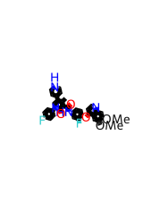 COc1cc2nccc(Oc3ccc(NC(=O)c4c(C)c(C5CCNCC5)cn(-c5ccc(F)cc5)c4=O)cc3F)c2cc1OC